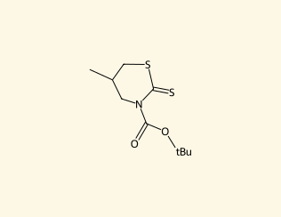 CC1CSC(=S)N(C(=O)OC(C)(C)C)C1